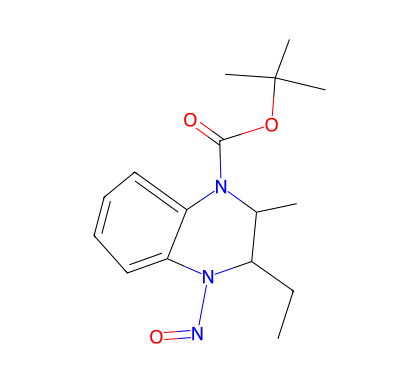 CCC1C(C)N(C(=O)OC(C)(C)C)c2ccccc2N1N=O